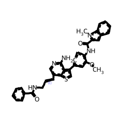 COc1cc(-c2csc3c(/C=C/CNC(=O)c4ccccc4)cnc(N)c23)ccc1NC(=O)c1cc2ccccc2n1C